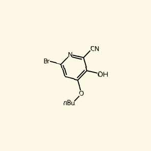 CCCCOc1cc(Br)nc(C#N)c1O